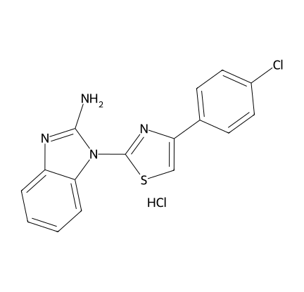 Cl.Nc1nc2ccccc2n1-c1nc(-c2ccc(Cl)cc2)cs1